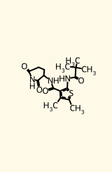 Cc1sc(NC(=O)C(C)(C)C)c(C(=O)NC2CCC(=O)NC2=O)c1C